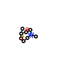 c1ccc(-c2ccc(-c3nc(-c4ccccc4)nc(-c4cccc5oc6cc(-c7c(-c8ccccc8)ccc8c7sc7ccccc78)ccc6c45)n3)cc2)cc1